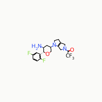 N[C@H]1C[C@@H](N2CCC3=C2CN(C(=O)C(F)(F)F)C3)CO[C@@H]1c1cc(F)ccc1F